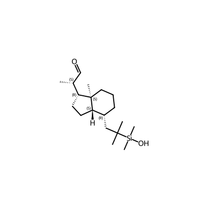 C[C@H](C=O)[C@H]1CC[C@H]2[C@@H](CC(C)(C)[Si](C)(C)O)CCC[C@]12C